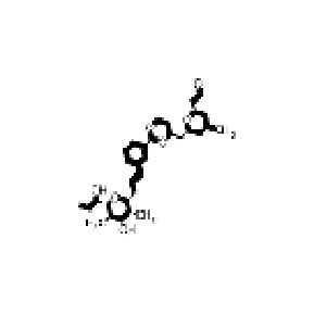 C=C1C[C@H](C[C@@H]2CCO[C@H](c3cccc(/C=C/C[C@H]4O[C@@H](/C(C)=C/I)[C@H](C)[C@@H](O)[C@H]4C)c3)O2)O[C@@H](CC=O)C1